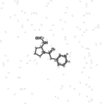 O=CNC1CCCN1C(=O)Cc1cccnc1